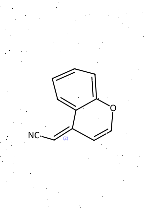 N#C/C=C1/C=COc2ccccc21